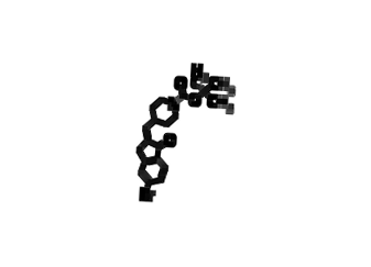 CC(C)(C)OC(=O)N1CCC(C=C2Cc3cc(Br)ccc3C2=O)CC1